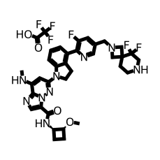 CNc1cc(N2CCc3c(-c4ncc(CN5CC6(CCNCC6(F)F)C5)cc4F)cccc32)nn2c(C(=O)N[C@@H]3CC[C@H]3OC)cnc12.O=C(O)C(F)(F)F